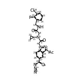 CC(=O)c1nn(CC(=O)N(CC(=O)NCc2cccc(Cl)c2F)C2CC2)c2ccc(C(=O)N=[N+]=[N-])cc12